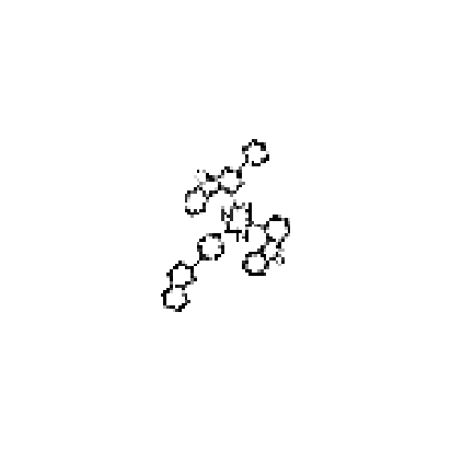 c1ccc(-c2cc(-c3nc(-c4ccc(-c5ccc6ccccc6c5)cc4)nc(-c4cccc5sc6ccccc6c45)n3)c3c(c2)oc2ccccc23)cc1